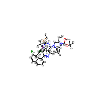 CCSc1nc2c3c(nc(-c4cccc5ccc(F)c(C#C[Si](C(C)C)(C(C)C)C(C)C)c45)c(F)c3n1)C[C@H](C)[C@H]1CN(C(=O)OC(C)(C)C)[C@H](CC)CN21